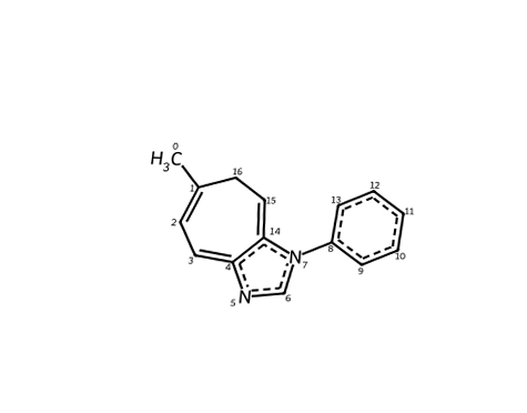 CC1=CC=c2ncn(-c3ccccc3)c2=CC1